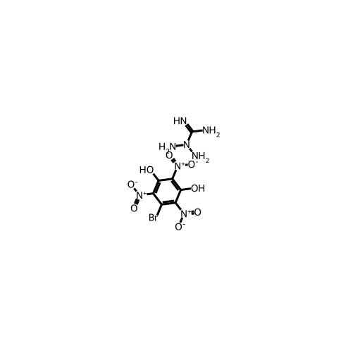 N=C(N)N(N)N.O=[N+]([O-])c1c(O)c([N+](=O)[O-])c(Br)c([N+](=O)[O-])c1O